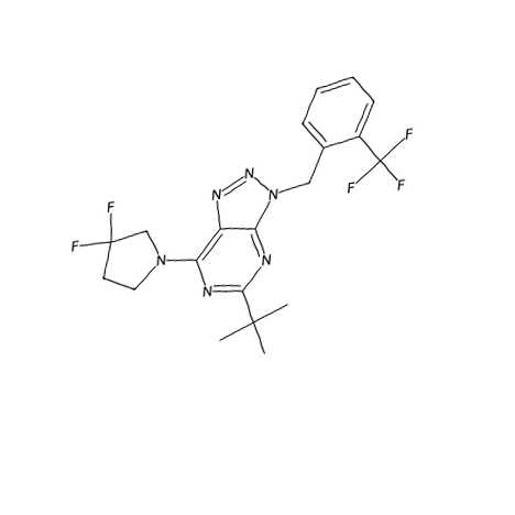 CC(C)(C)c1nc(N2CCC(F)(F)C2)c2nnn(Cc3ccccc3C(F)(F)F)c2n1